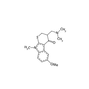 COc1ccc2c(c1)c1c(n2C)SCC(CN(C)C)C1=O